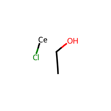 CCO.[Cl][Ce]